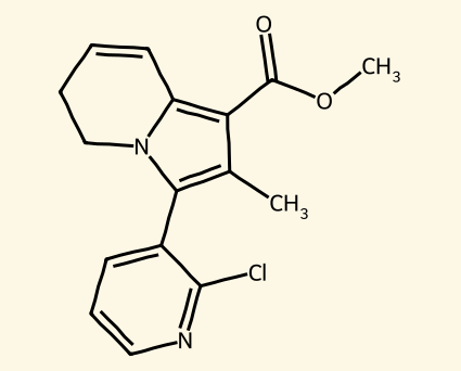 COC(=O)c1c(C)c(-c2cccnc2Cl)n2c1C=CCC2